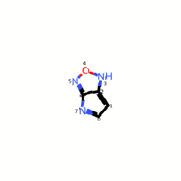 c1cc2[nH]onc-2n1